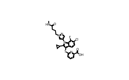 CNC(=O)CCCn1cc(-n2c(C3CC3)c(Sc3cccc(C(=O)O)n3)c3ccc(Cl)c(F)c32)cn1